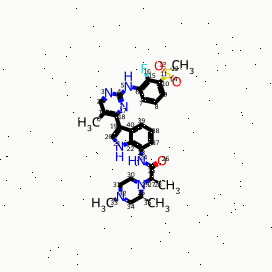 Cc1cnc(Nc2cccc(S(C)(=O)=O)c2F)nc1-c1c[nH]c2c(NC(=O)[C@@H](C)N3CCN(C)C[C@H]3C)cccc12